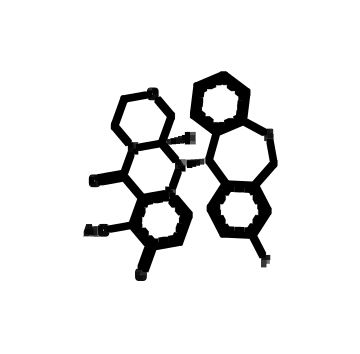 CC(=O)Oc1c2n(ccc1=O)N([C@H]1c3ccc(F)cc3CSc3ccccc31)[C@@H]1COCCN1C2=O